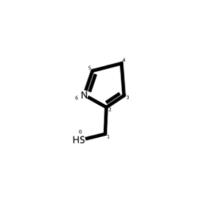 SCC1=CCC=N1